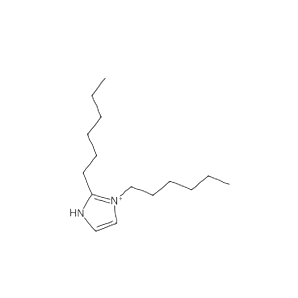 CCCCCCc1[nH]cc[n+]1CCCCCC